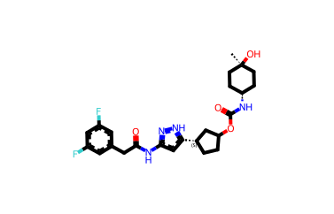 C[C@]1(O)CC[C@H](NC(=O)OC2CC[C@H](c3cc(NC(=O)Cc4cc(F)cc(F)c4)n[nH]3)C2)CC1